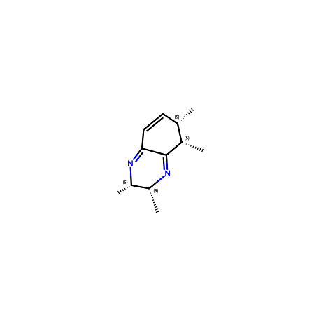 C[C@@H]1N=C2C=C[C@H](C)[C@H](C)C2=N[C@@H]1C